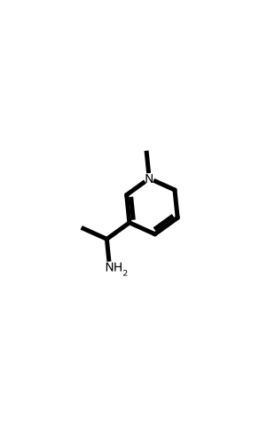 CC(N)C1=CN(C)CC=C1